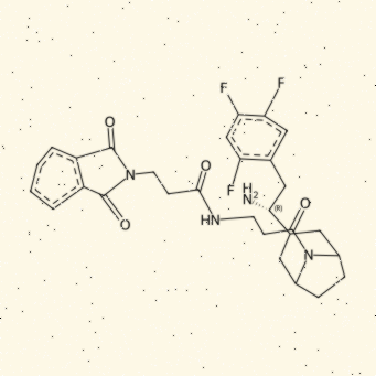 N[C@H](Cc1cc(F)c(F)cc1F)C1CC2CCC(C1)N2C(=O)CCNC(=O)CCN1C(=O)c2ccccc2C1=O